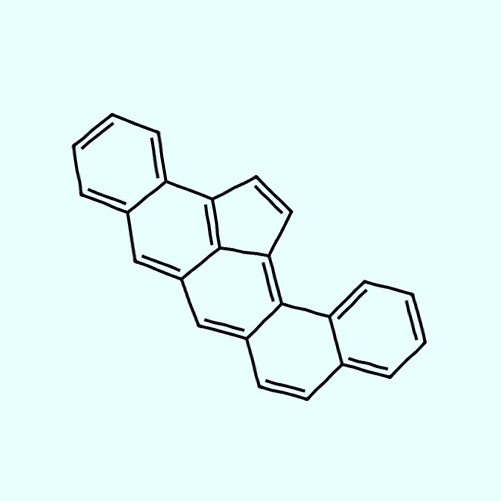 C1=Cc2c3c1c1ccccc1cc3cc1ccc3ccccc3c21